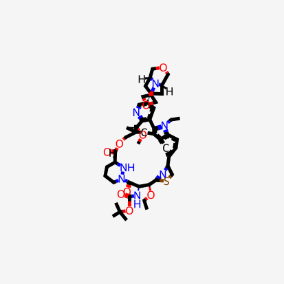 CCO[C@@H]1C2=NC(CS2)c2ccc3c(c2)c(c(-c2cc([C@H]4C[C@H]5COC[C@@H](C4)N5C4COC4)cnc2[C@H](C)OC)n3CC)CC(C)(C)COC(=O)[C@@H]2CCCN(N2)C(=O)[C@H]1NC(=O)OC(C)(C)C